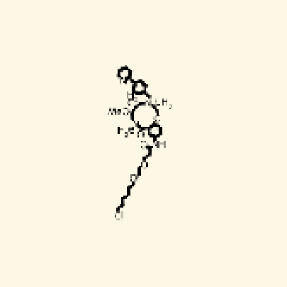 CO[C@H]1CN(C)C(=O)c2cc(NC(=O)CCOCCOCCCCCCCl)ccc2OC[C@H](C)N(Cc2ccc(-c3ccccn3)cc2)C[C@@H]1C